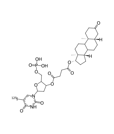 C[C@]12CCC3C(CC[C@H]4CC(=O)CC[C@]34C)[C@@H]1CC[C@@H]2OC(=O)CCC(=O)OC1CC(n2cc([125I])c(=O)[nH]c2=O)OC1COP(=O)(O)O